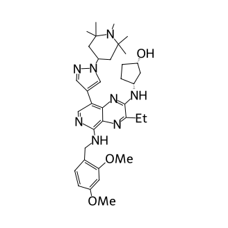 CCc1nc2c(NCc3ccc(OC)cc3OC)ncc(-c3cnn(C4CC(C)(C)N(C)C(C)(C)C4)c3)c2nc1N[C@@H]1CC[C@H](O)C1